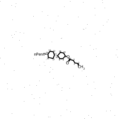 C=CCCC(=O)OC1CCC([C@H]2CC[C@H](CCCCC)CC2)CC1